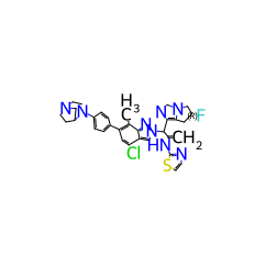 C=C(Nc1nccs1)C(c1ncn2c1C[C@@H](F)C2)n1cc2c(Cl)cc(-c3ccc(N4CCN5CCC4C5)cc3)c(C)c2n1